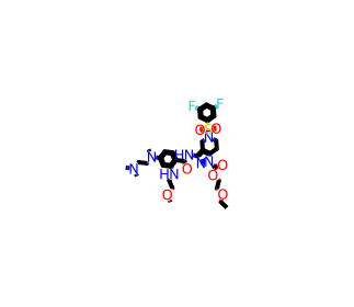 CCOCCOC(=O)n1nc(NC(=O)c2ccc(N(C)CCN(C)C)cc2NCCOC)c2c1CCN(S(=O)(=O)c1cc(F)cc(F)c1)C2